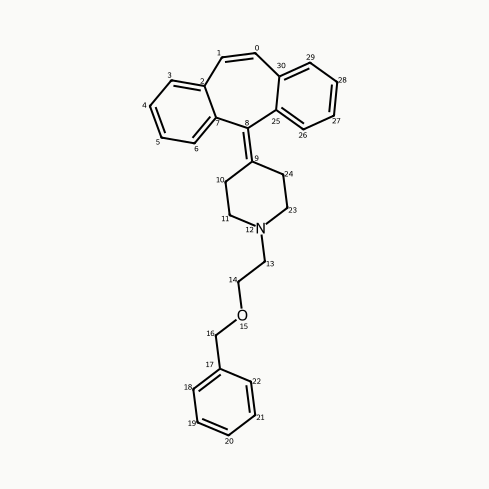 C1=Cc2ccccc2C(=C2CCN(CCOCc3ccccc3)CC2)c2ccccc21